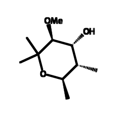 CO[C@H]1[C@H](O)[C@H](C)[C@@H](C)OC1(C)C